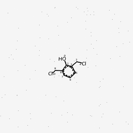 Oc1c(CCl)cccc1CCl